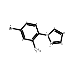 Cc1cc(Br)ccc1-n1cccn1